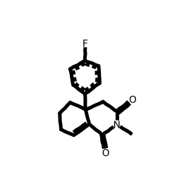 CN1C(=O)CC2(c3ccc(F)cc3)CCCC=C2C1=O